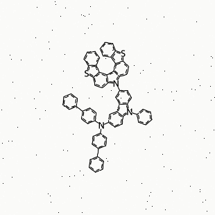 c1ccc(-c2ccc(N(c3ccc(-c4ccccc4)cc3)c3ccc4c(c3)c3cc(-n5c6ccc7sc8ccccc8c7c6c6c7c(ccc65)sc5ccccc57)ccc3n4-c3ccccc3)cc2)cc1